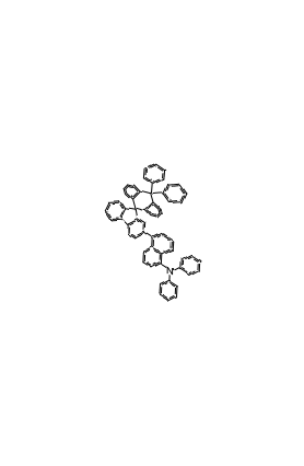 c1ccc(N(c2ccccc2)c2cccc3c(-c4ccc5c(c4)C4(c6ccccc6-5)c5ccccc5C(c5ccccc5)(c5ccccc5)c5ccccc54)cccc23)cc1